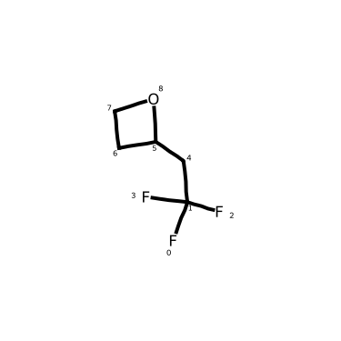 FC(F)(F)CC1CCO1